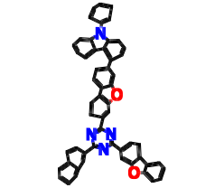 c1ccc(-n2c3ccccc3c3c(-c4ccc5c(c4)oc4cc(-c6nc(-c7ccc8ccccc8c7)nc(-c7ccc8c(c7)oc7ccccc78)n6)ccc45)cccc32)cc1